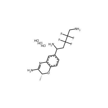 C[C@H]1Oc2ccc(C(N)CC(F)(F)C(F)(F)CN)cc2N=C1N.Cl.Cl.Cl